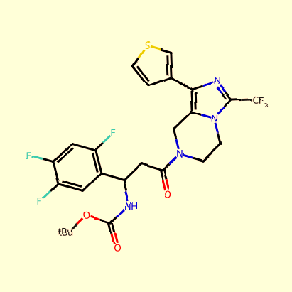 CC(C)(C)OC(=O)NC(CC(=O)N1CCn2c(C(F)(F)F)nc(-c3ccsc3)c2C1)c1cc(F)c(F)cc1F